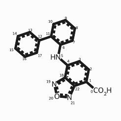 O=C(O)c1ccc(Nc2ccccc2-c2ccccc2)c2nonc12